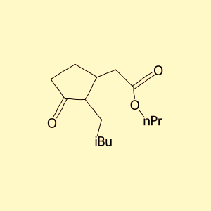 CCCOC(=O)CC1CCC(=O)C1CC(C)CC